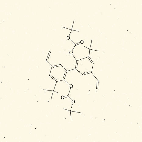 C=Cc1cc(-c2cc(C=C)cc(C(C)(C)C)c2OC(=O)OC(C)(C)C)c(OC(=O)OC(C)(C)C)c(C(C)(C)C)c1